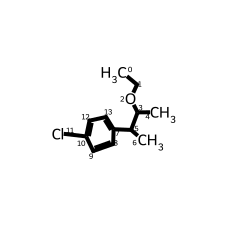 CCOC(C)C(C)c1ccc(Cl)cc1